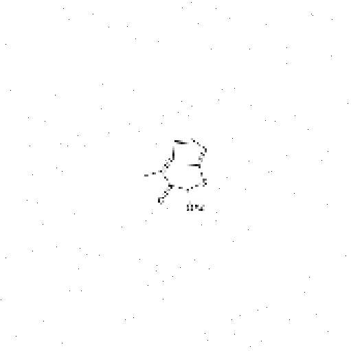 CC(=O)OC1S/C(C)=C/C=C\C=C(/C)C1=O